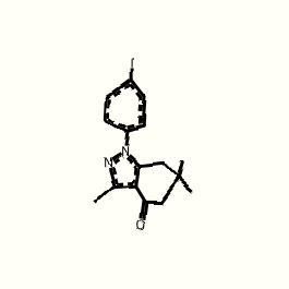 Cc1nn(-c2ccc(I)cc2)c2c1C(=O)CC(C)(C)C2